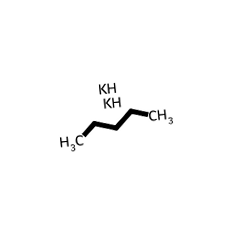 CCCCC.[KH].[KH]